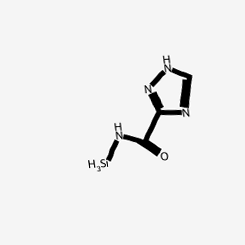 O=C(N[SiH3])c1nc[nH]n1